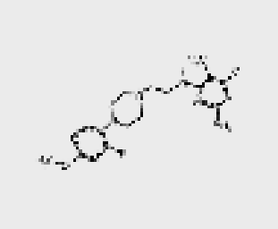 COc1ccc(N2CCN(CCNc3nc(N)nc(Cl)c3N)CC2)c(F)c1